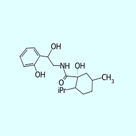 CC1CCC(C(C)C)[C@@](O)(C(=O)NCC(O)c2ccccc2O)C1